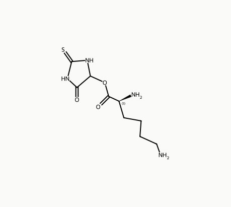 NCCCC[C@H](N)C(=O)OC1NC(=S)NC1=O